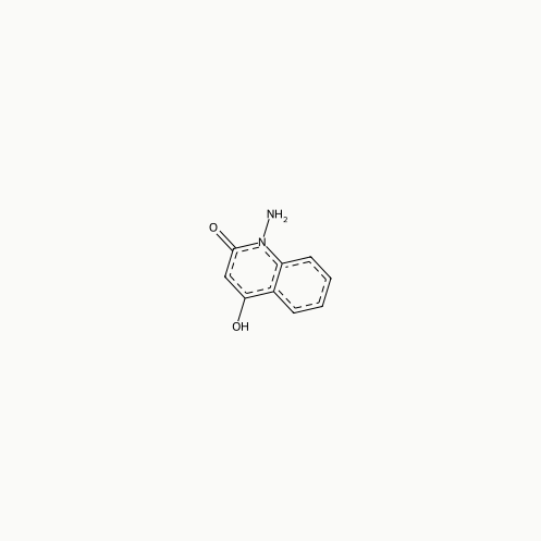 Nn1c(=O)cc(O)c2ccccc21